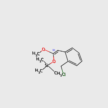 CO/C(=C/c1ccccc1CCl)O[Si](C)(C)C